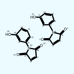 O=C1C=CC(=O)N1c1cccc(O)c1.O=C1C=CC(=O)N1c1cccc(O)c1